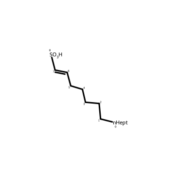 CCCCCCCCCCCCC=CS(=O)(=O)O